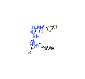 CNC1CCN(c2cc(C3CC3)cn3cc(CNc4cc(NC(=O)C5CC5c5cccc(Cl)c5)ncn4)nc23)C1